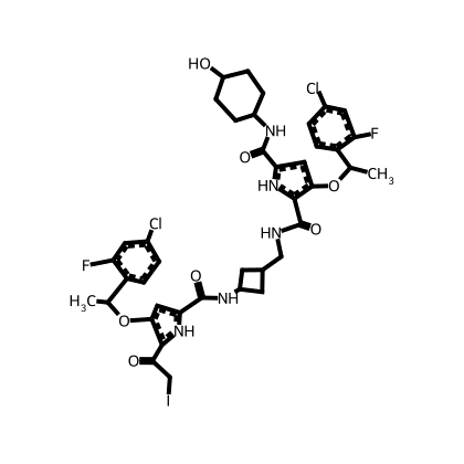 CC(Oc1cc(C(=O)NC2CC(CNC(=O)c3[nH]c(C(=O)NC4CCC(O)CC4)cc3OC(C)c3ccc(Cl)cc3F)C2)[nH]c1C(=O)CI)c1ccc(Cl)cc1F